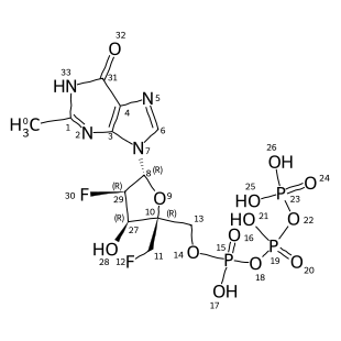 Cc1nc2c(ncn2[C@@H]2O[C@](CF)(COP(=O)(O)OP(=O)(O)OP(=O)(O)O)[C@@H](O)[C@H]2F)c(=O)[nH]1